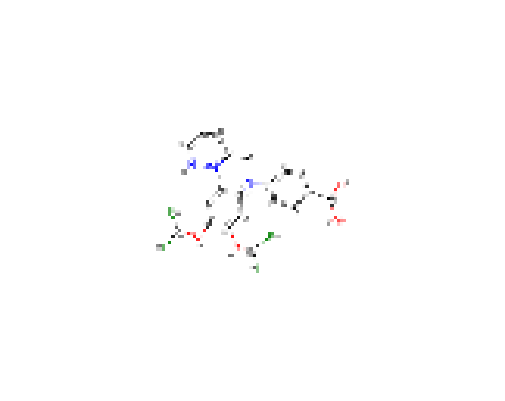 O=C(O)c1ccc(N(Cc2cccnn2)c2ccc(OC(F)F)c(OC(F)F)c2)cc1